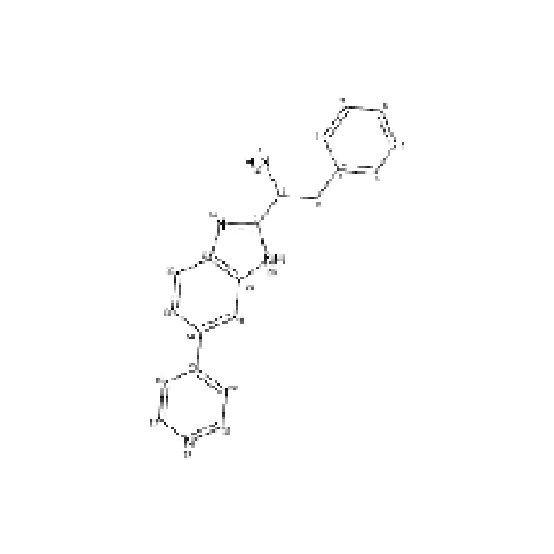 NC(Cc1ccccc1)c1nc2ccc(-c3ccncc3)cc2[nH]1